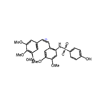 COc1cc(/C=C\c2cc(OC)c(OC)c(OC)c2)c(NS(=O)(=O)c2ccc(O)cc2)cc1OC